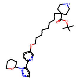 CC(C)(C)OC(=O)C1(CCCCCCCCOc2ccc(-c3ccnn3C3CCCCO3)nc2)CCNCC1